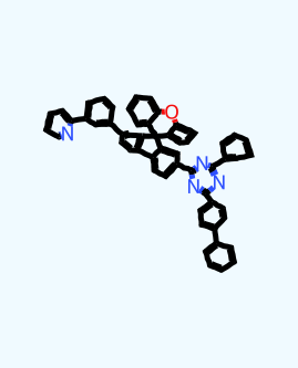 c1ccc(-c2ccc(-c3nc(-c4ccccc4)nc(-c4ccc5c(c4)C4(c6ccccc6Oc6ccccc64)c4cc(-c6cccc(-c7ccccn7)c6)ccc4-5)n3)cc2)cc1